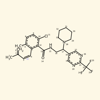 C=C(C)/C=C\c1c(C)ccc(Cl)c1C(=O)NCC(c1cnc(C(F)(F)F)nc1)N1CCCCC1